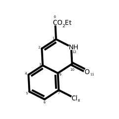 CCOC(=O)c1cc2cccc(Cl)c2c(=O)[nH]1